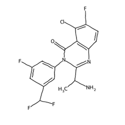 CC(N)c1nc2ccc(F)c(Cl)c2c(=O)n1-c1cc(F)cc(C(F)F)c1